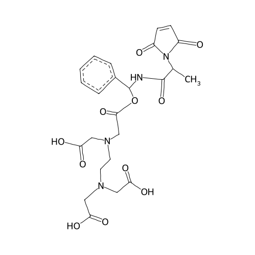 CC(C(=O)NC(OC(=O)CN(CCN(CC(=O)O)CC(=O)O)CC(=O)O)c1ccccc1)N1C(=O)C=CC1=O